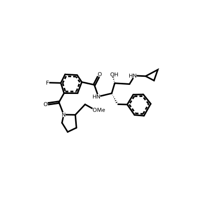 COCC1CCCN1C(=O)c1cc(C(=O)N[C@@H](Cc2ccccc2)[C@H](O)CNC2CC2)ccc1F